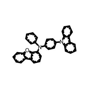 c1ccc(N(c2ccc(-n3c4ccccc4c4ccccc43)cc2)c2cccc3c2oc2ccccc23)cc1